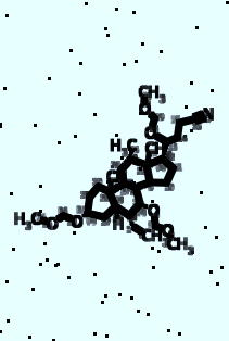 CC[C@H]1[C@@H](OCOC)C2C3CC[C@H](C(CCC#N)OCOC)[C@@]3(C)[C@@H](C)CC2[C@@]2(C)CC[C@@H](OCOC)C[C@@H]12